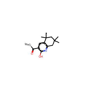 COC(=O)c1cc2c(nc1O)CC(C)(C)CC2(C)C